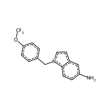 Nc1ccc2c(ccn2Cc2ccc(OC(F)(F)F)cc2)c1